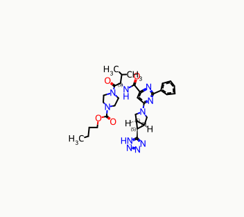 CCCCOC(=O)N1CCN(C(=O)[C@@H](NC(=O)c2cc(N3C[C@@H]4[C@H](C3)[C@@H]4c3nnn[nH]3)nc(-c3ccccc3)n2)C(C)C)CC1